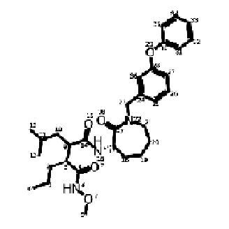 CCC[C@H](C(=O)NOC)C(CC(C)C)C(=O)N[C@H]1CCCCN(Cc2cccc(Oc3ccccc3)c2)C1=O